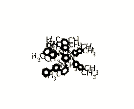 CC1(C)Cc2ccc(N3c4cc5c(cc4B4c6cc7c(cc6N(c6ccc8c(c6)C(C)(C)CCC8(C)C)c6cc(N8c9ccc(-c%10ccccc%10)cc9C9(C)CCCCC89C)cc3c64)C(C)(C)CCC7(C)C)CC(C)(C)C5)cc2C1